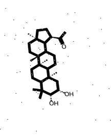 CC(=O)[C@@H]1CC[C@]2(C)CC[C@]3(C)C(CCC4[C@@]5(C)C[C@H](O)[C@H](O)C(C)(C)C5CC[C@]43C)C12